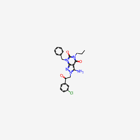 CCCn1c(=O)c2c(N)n(CC(=O)c3cccc(Cl)c3)nc2n(Cc2ccccc2)c1=O